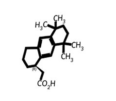 CC1(C)CCC(C)(C)c2cc3c(cc21)CCC[C@@H]3CC(=O)O